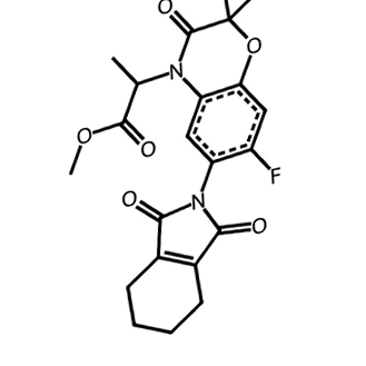 COC(=O)C(C)N1C(=O)C2(CC2)Oc2cc(F)c(N3C(=O)C4=C(CCCC4)C3=O)cc21